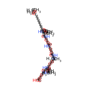 CC(C)(C)OC(=O)CCCCCCCCCCCCCCCCC(=O)N[C@@H](CCC(=O)NCCOCCOCC(=O)NCCOCCOCC(=O)NCC[N+](C)(C)CCOCCOCCC(=O)NC(CCC(=O)NCCOCCOCC(=O)O)C(=O)OC(C)(C)C)C(=O)OC(C)(C)C